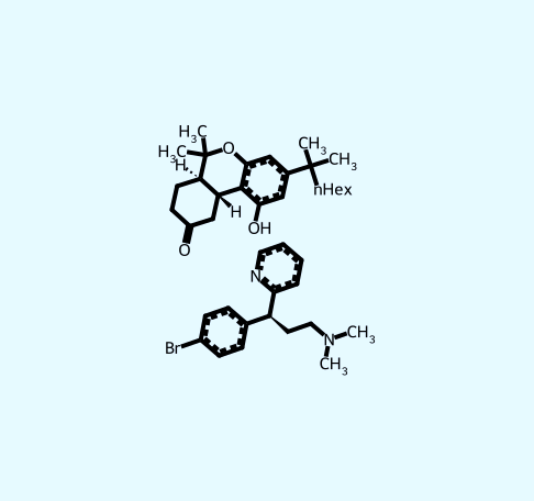 CCCCCCC(C)(C)c1cc(O)c2c(c1)OC(C)(C)[C@@H]1CCC(=O)C[C@@H]21.CN(C)CC[C@@H](c1ccc(Br)cc1)c1ccccn1